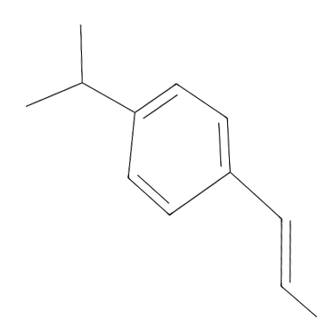 CC=Cc1ccc(C(C)C)cc1